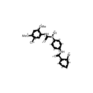 COc1cc(OC)c(NC(=O)N(S)c2ccc(NC(=O)c3ccccc3Br)cc2)cc1Cl